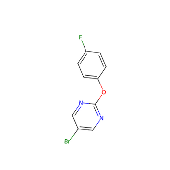 Fc1ccc(Oc2ncc(Br)cn2)cc1